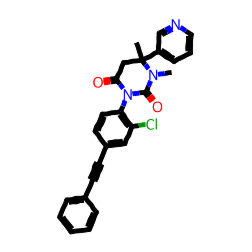 CN1C(=O)N(c2ccc(C#Cc3ccccc3)cc2Cl)C(=O)CC1(C)c1cccnc1